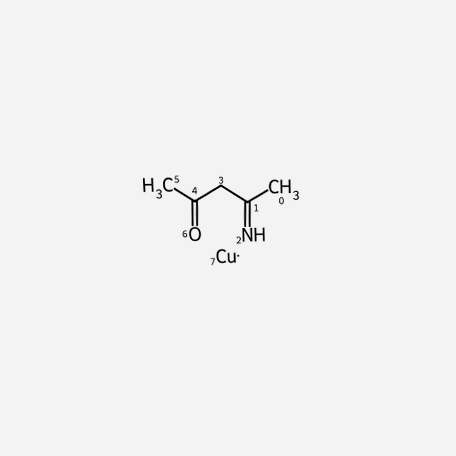 CC(=N)CC(C)=O.[Cu]